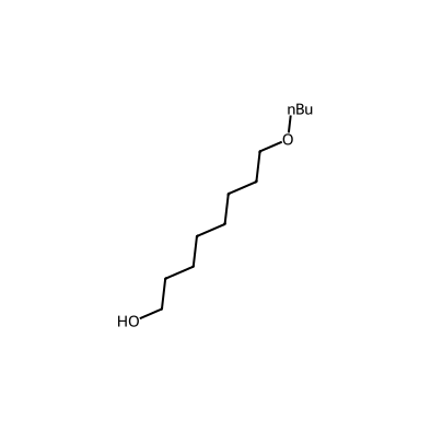 CCCCOCCCCCCCCO